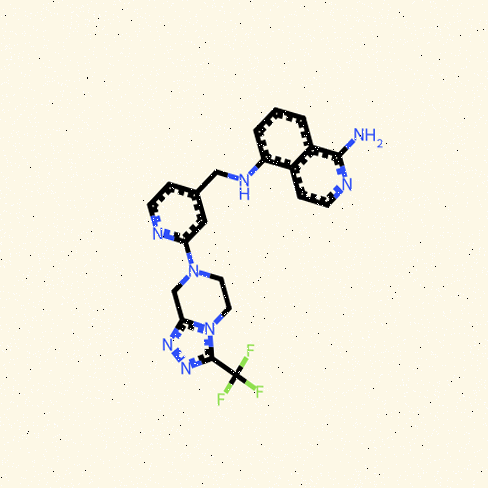 Nc1nccc2c(NCc3ccnc(N4CCn5c(nnc5C(F)(F)F)C4)c3)cccc12